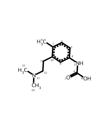 Cc1ccc(NC(=O)O)cc1CCN(C)C